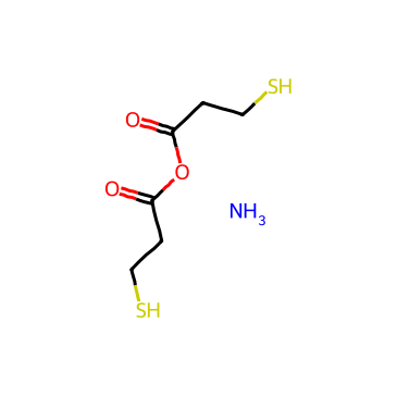 N.O=C(CCS)OC(=O)CCS